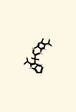 Cc1cc2ncc(C(C)(C)c3c(C(C)C)oc4ccccc34)nc2cc1C(C)C